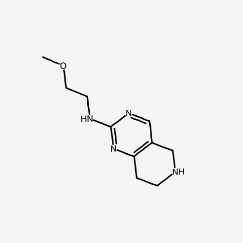 COCCNc1ncc2c(n1)CCNC2